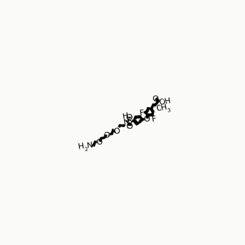 C/C(=C\c1cc(F)c(Oc2ccc(S(=O)(=O)NCCOCCOCCOCCN)cc2)c(F)c1)C(=O)O